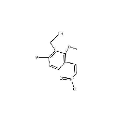 COc1c(/C=C\[N+](=O)[O-])ccc(Br)c1CO